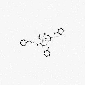 CCCCS(=O)(=O)CC(NC(=O)c1cccnc1)C(=O)N[C@@H](Cc1ccccc1)[C@@H](O)[C@@H](NCCO)C(=O)NCCc1ccccc1